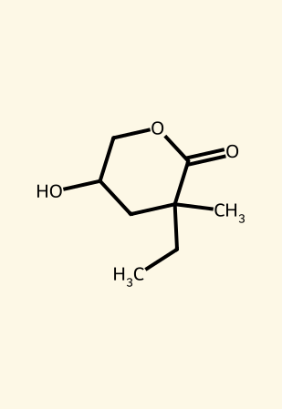 CCC1(C)CC(O)COC1=O